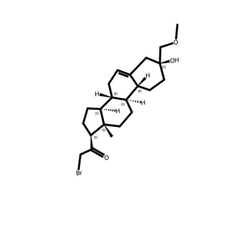 COC[C@]1(O)CC[C@H]2C(=CC[C@@H]3[C@@H]2CC[C@]2(C)[C@@H](C(=O)CBr)CC[C@@H]32)C1